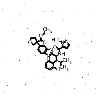 CCOC(=O)C1(c2ccc3[nH]c([C@@H](NC(=O)c4ccnn4C)[C@H](c4ccccc4Cl)C(C)C)nc3c2)CCOC1